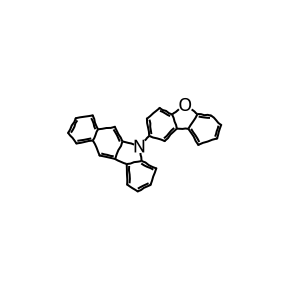 c1ccc2cc3c(cc2c1)c1ccccc1n3-c1ccc2oc3ccccc3c2c1